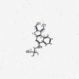 CC/C=c1\c(=C/CC)sc2cc(BCC(C)(C)C(C)(C)C)c3ccccc3c12